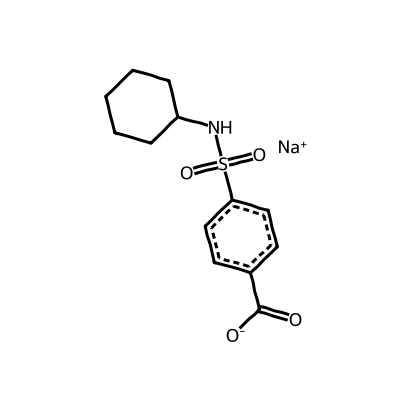 O=C([O-])c1ccc(S(=O)(=O)NC2CCCCC2)cc1.[Na+]